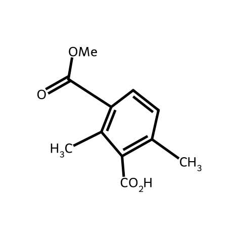 COC(=O)c1ccc(C)c(C(=O)O)c1C